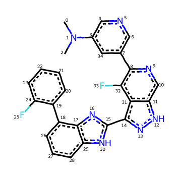 CN(C)c1cncc(-c2ncc3[nH]nc(-c4nc5c(-c6ccccc6F)cccc5[nH]4)c3c2F)c1